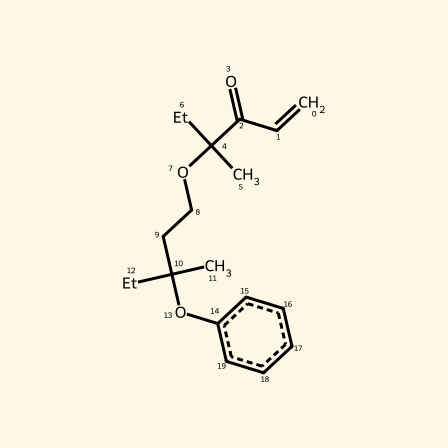 C=CC(=O)C(C)(CC)OCCC(C)(CC)Oc1ccccc1